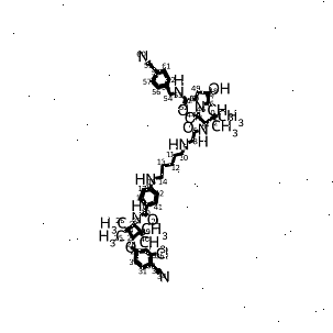 CC(C)(C)C(NC(=O)CNCCCCCNc1ccc(C(=O)N[C@H]2C(C)(C)[C@H](Oc3ccc(C#N)c(Cl)c3)C2(C)C)cc1)C(=O)N1C[C@H](O)C[C@H]1C(=O)NCc1ccc(C#N)cc1